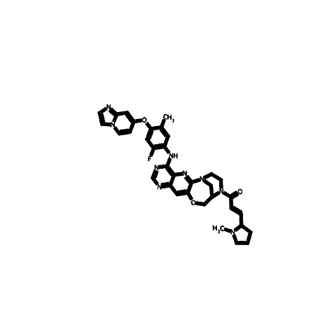 Cc1cc(Nc2ncnc3cc4c(nc23)N2CCN(C(=O)/C=C/C3CCCN3C)C(CO4)C2)c(F)cc1Oc1ccn2ccnc2c1